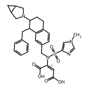 Cn1cnc(S(=O)(=O)N(Cc2ccc3c(c2)C(Cc2ccccc2)C(N2CC4CC4C2)CC3)/C(=C/C(=O)O)C(=O)O)c1